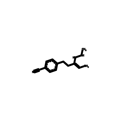 CNN/C(=C\N)CCc1ccc(C#N)cc1